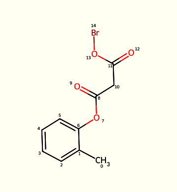 Cc1ccccc1OC(=O)CC(=O)OBr